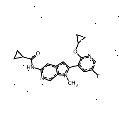 Cn1c(-c2cc(F)cnc2OC2CC2)cc2cc(NC(=O)C3CC3)ncc21